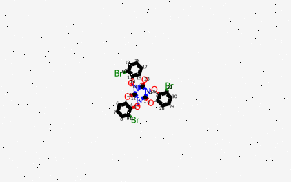 O=c1n(Oc2ccccc2Br)c(=O)n(Oc2ccccc2Br)c(=O)n1Oc1ccccc1Br